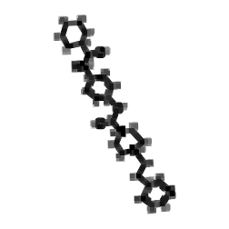 O=C(Nc1ccc(OC(=O)N2CCN(CCc3cccnc3)CC2)cc1)C1CCCCC1